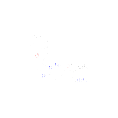 C[C@H](CN)Oc1ccc2ncc(-c3cc4ccccc4o3)n2n1